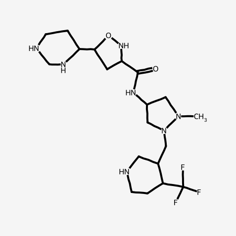 CN1CC(NC(=O)C2CC(C3CCNCN3)ON2)CN1CC1CNCCC1C(F)(F)F